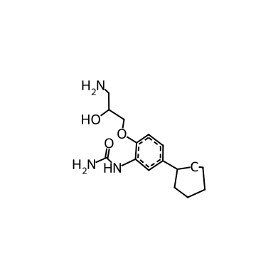 NCC(O)COc1ccc(C2CCCCC2)cc1NC(N)=O